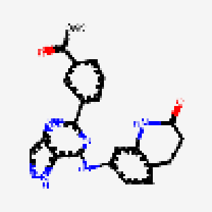 COC(=O)c1cccc(-c2nc(Nc3ccc4c(c3)NC(=O)CC4)c3[nH]ncc3n2)c1